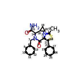 Cc1nc(C(=O)N(Cc2ccccc2)C(C(N)=O)C2CC2)c(-c2ccccc2)s1